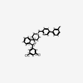 Cc1cccc(-c2ccc(CN3CCC4(CC3)OC(c3cc(Cl)cc(Cl)c3)c3ccccc34)nc2)c1